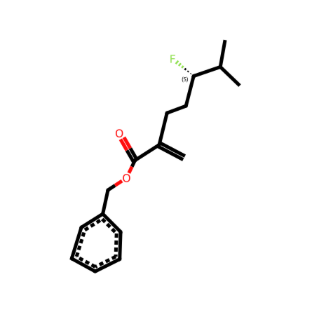 C=C(CC[C@H](F)C(C)C)C(=O)OCc1ccccc1